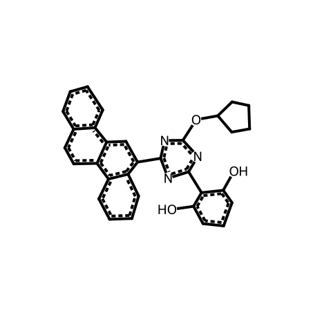 Oc1cccc(O)c1-c1nc(OC2CCCC2)nc(-c2cc3c4ccccc4ccc3c3ccccc23)n1